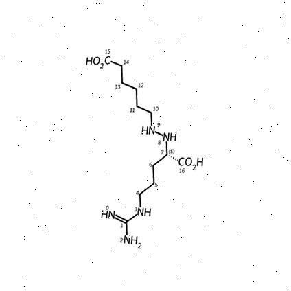 N=C(N)NCCC[C@H](NNCCCCCC(=O)O)C(=O)O